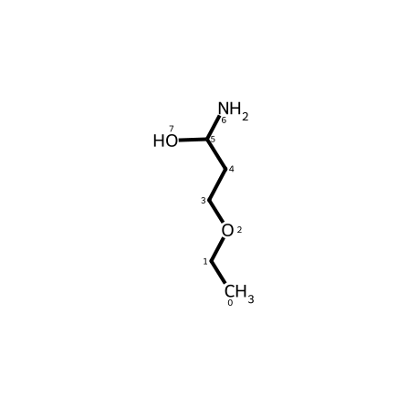 CCOCCC(N)O